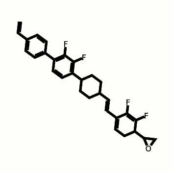 C=Cc1ccc(-c2ccc(C3CCC(/C=C/C4=CCC(C5CO5)C(F)=C4F)CC3)c(F)c2F)cc1